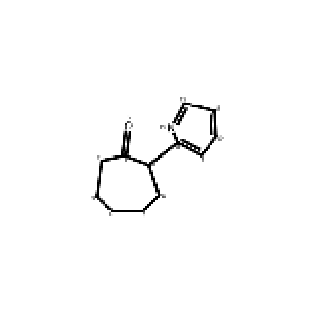 O=C1CCCCCC1c1ccccn1